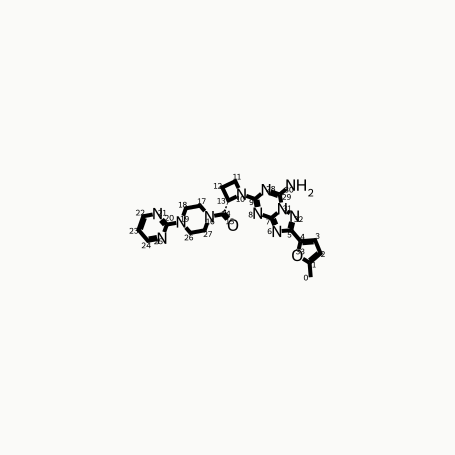 Cc1ccc(-c2nc3nc(N4CC[C@H]4C(=O)N4CCN(c5ncccn5)CC4)nc(N)n3n2)o1